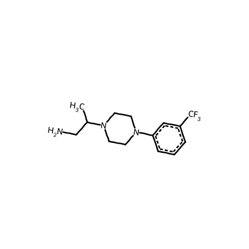 CC(CN)N1CCN(c2cccc(C(F)(F)F)c2)CC1